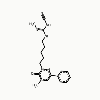 CN=C(NC#N)NCCCCCn1nc(-c2ccccc2)cc(C)c1=O